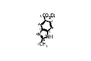 CCOC(=O)c1ccc2[nH]c(C)nc2c1